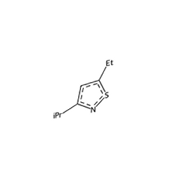 CCc1cc(C(C)C)ns1